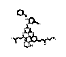 CCOC(=O)CCc1cc(Oc2nc(Oc3cc(C#N)ccc3OCc3ccccc3)nc3c2NC(=O)C(CCC(=O)O)O3)cc(C2NC=CCN2)c1